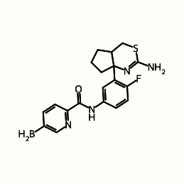 Bc1ccc(C(=O)Nc2ccc(F)c(C34CCCC3CSC(N)=N4)c2)nc1